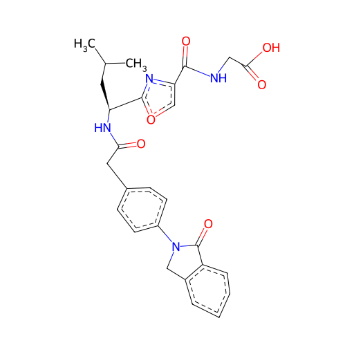 CC(C)C[C@H](NC(=O)Cc1ccc(N2Cc3ccccc3C2=O)cc1)c1nc(C(=O)NCC(=O)O)co1